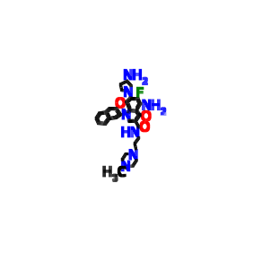 CN1CCN(CCCNC(=O)c2cn3c4c(c(N5CCC(N)C5)c(F)c(N)c4c2=O)Oc2cc4ccccc4cc2-3)CC1